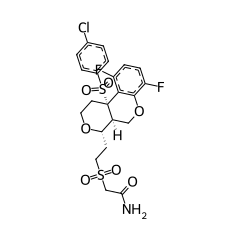 NC(=O)CS(=O)(=O)CC[C@@H]1OCC[C@@]2(S(=O)(=O)c3ccc(Cl)cc3)c3c(F)ccc(F)c3OC[C@@H]12